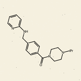 CC(C)N1CCN(C(=O)c2ccc(CNc3ccccn3)cc2)CC1